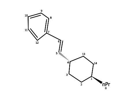 CCC[C@H]1CC[C@H](C=Cc2ccccc2)CC1